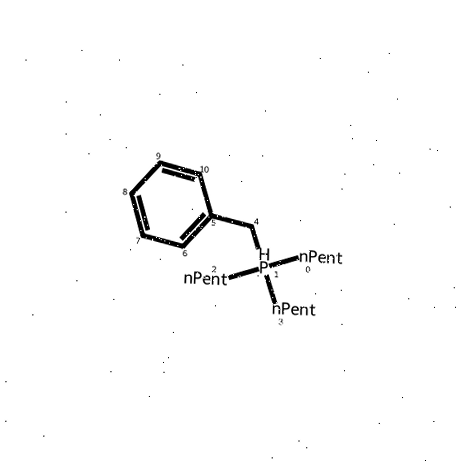 CCCCC[PH](CCCCC)(CCCCC)Cc1ccccc1